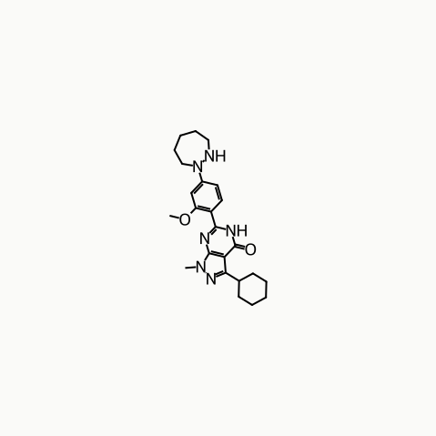 COc1cc(N2CCCCCN2)ccc1-c1nc2c(c(C3CCCCC3)nn2C)c(=O)[nH]1